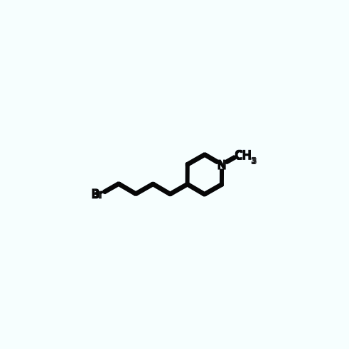 CN1CCC(CCCCBr)CC1